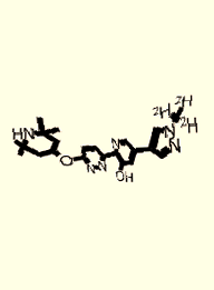 [2H]C([2H])([2H])n1cc(-c2cnc(-c3ccc(OC4CC(C)(C)NC(C)(C)C4)nn3)c(O)c2)cn1